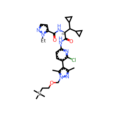 CCn1nccc1C(=O)N[C@H](C(=O)Nc1ccc(-c2c(C)nn(COCC[Si](C)(C)C)c2C)c(Cl)n1)C(C1CC1)C1CC1